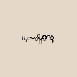 CCCCOC(=O)Nc1ccc(CN2CCC(F)C2)cn1